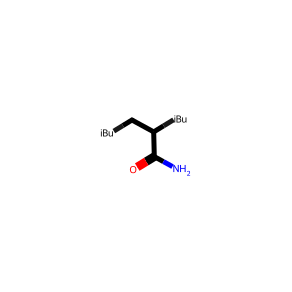 CCC(C)CC(C(N)=O)C(C)CC